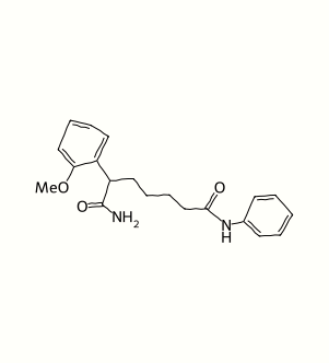 COc1ccccc1C(CCCCC(=O)Nc1ccccc1)C(N)=O